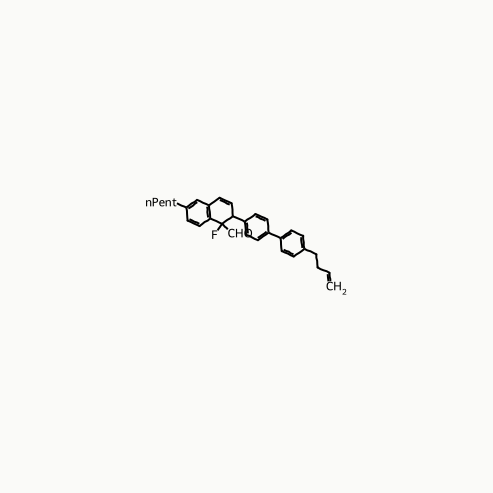 C=CCCc1ccc(-c2ccc(C3C=Cc4cc(CCCCC)ccc4C3(F)C=O)cc2)cc1